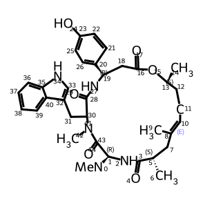 CN[C@@H]1NC(=O)[C@@H](C)C/C(C)=C/CC[C@H](C)OC(=O)C[C@H](c2ccc(O)cc2)NC(=O)C(Cc2c[nH]c3ccccc23)N(C)C1=O